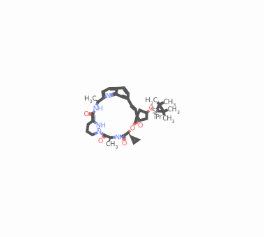 CC(C)[Si]1(OC2CCC3(/C=C/c4ccc5ccc(nc5c4)[C@@H](C)NC(=O)[C@@H]4CCCN(N4)C(=O)[C@H](C)NC(=O)[C@H](C4CC4)OC3=O)C2)C(C)(C)C1(C)C